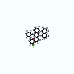 Fc1ccc(-c2ccccc2-c2c3ccccc3c(-c3cccc4ccccc34)c3ccccc23)cc1